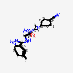 Cc1ccc2[nH]nc(NCC(=O)NC3CN(C4CCC(C#N)CC4)C3)c2c1